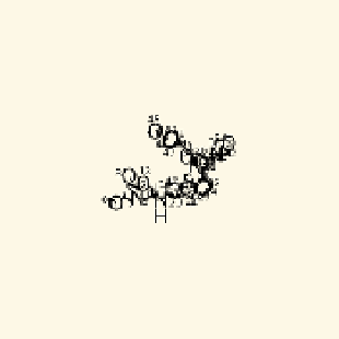 COCCN(CCOC)C[C@@H](COC)Nc1ccc2c(c1)Sc1cccc(-c3cc(N4CCOCC4)cc(OCc4ccc(OC)cc4)n3)c1S2